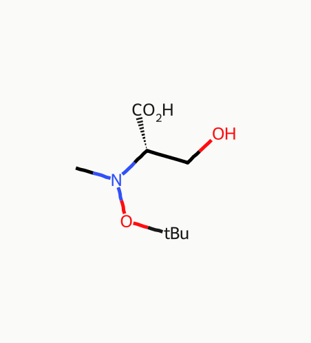 CN(OC(C)(C)C)[C@@H](CO)C(=O)O